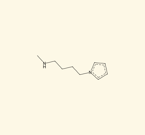 CNCCCCn1cccc1